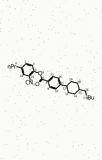 CCCc1ccc(OC(=O)c2ccc(C3CCC(CC(C)CC)CC3)cc2)c(C#N)c1